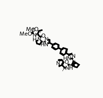 COC(=O)N[C@H](C(=O)N1CCC[C@H]1c1ncc(-c2ccc(-c3ccc(-c4cnc([C@@H]5C6CCC(C6)[C@H]5C(=O)N[C@H](C)c5cccnc5)[nH]4)cc3)cc2)[nH]1)[C@@H](C)OC